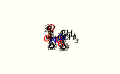 CC(CCCNC(Cc1ccccc1)C(=O)CSCc1ccco1)N(C)C(=O)COc1ccccc1